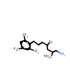 CCC(CCCc1c(C(F)(F)F)cc(C(F)(F)F)cc1C(F)(F)F)CC(CN)C(=O)O